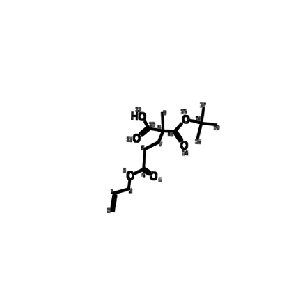 C=CCOC(=O)CCC(C)(C(=O)O)C(=O)OC(C)(C)C